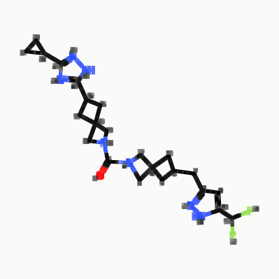 O=C(N1CC2(CC(Cc3cc(C(F)F)[nH]n3)C2)C1)N1CC2(CC(c3nc(C4CC4)n[nH]3)C2)C1